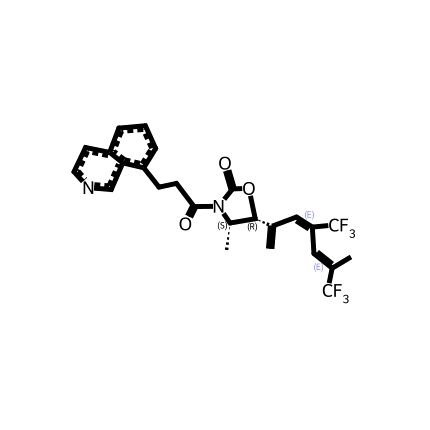 C=C(/C=C(\C=C(/C)C(F)(F)F)C(F)(F)F)[C@H]1OC(=O)N(C(=O)CCc2cccc3ccncc23)[C@H]1C